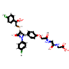 O=C(O)CNC(=O)CNC(=O)COc1ccc([C@@H]2[C@@H](SCC(O)c3ccc(F)cc3)C(=O)N2c2ccc(F)cc2)cc1